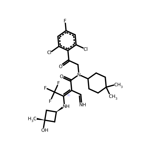 CC1(C)CCC(N(CC(=O)c2c(Cl)cc(F)cc2Cl)C(=O)/C(C=N)=C(/N[C@H]2C[C@](C)(O)C2)C(F)(F)F)CC1